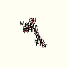 C=C1C[C@H]2C=Nc3cc(OCc4cc(C#CCNC(=O)CCOCCOCCOCCOCCNC(=O)CCNC(=O)CBr)cc(COc5cc6c(cc5OC)C(=O)N5CC(=C)C[C@H]5C=N6)c4)c(OC)cc3C(=O)N2C1